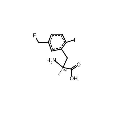 C[C@](N)(Cc1cc(CF)ccc1I)C(=O)O